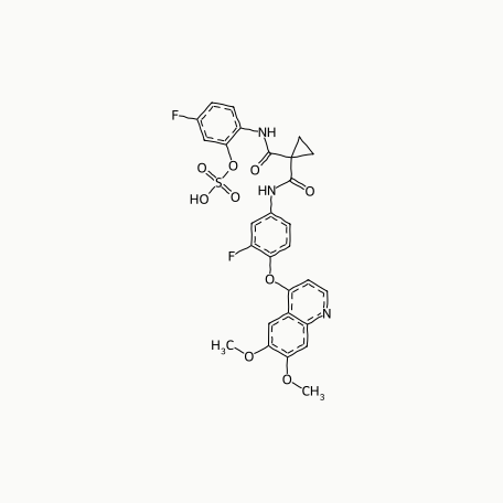 COc1cc2nccc(Oc3ccc(NC(=O)C4(C(=O)Nc5ccc(F)cc5OS(=O)(=O)O)CC4)cc3F)c2cc1OC